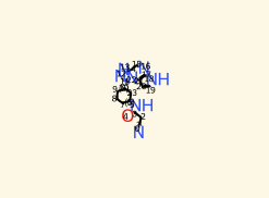 N#CCC(=O)N[C@H]1CCC[C@H](c2nnc3cnc4[nH]ccc4n23)C1